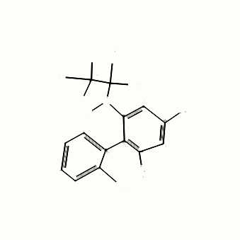 [O-][S+](c1cc(Br)[c]c(Br)c1-c1ccccc1F)C(F)(F)C(F)(F)C(F)(F)F